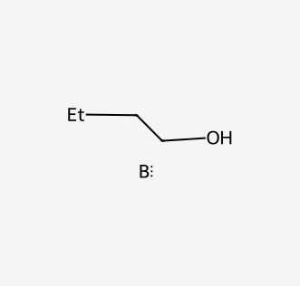 CCCCO.[B]